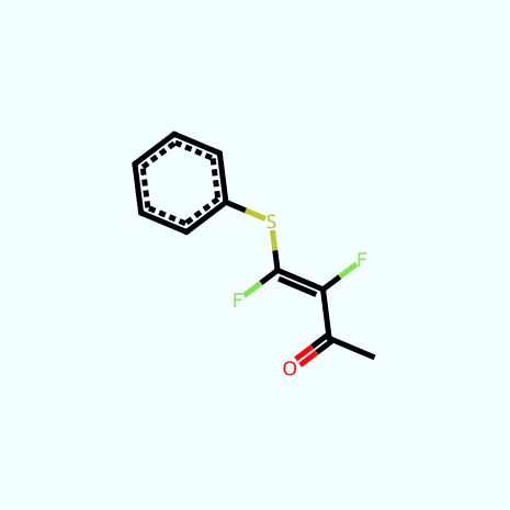 CC(=O)C(F)=C(F)Sc1ccccc1